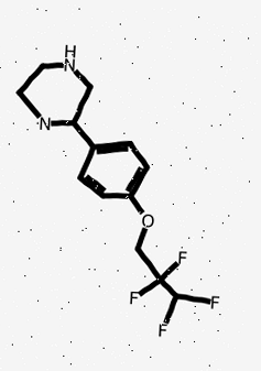 FC(F)C(F)(F)COc1ccc(C2CNCC[N]2)cc1